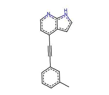 Cc1cccc(C#Cc2ccnc3[nH]ccc23)c1